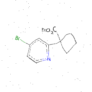 CCOC(=O)C1(c2cc(Br)ccn2)CCC1